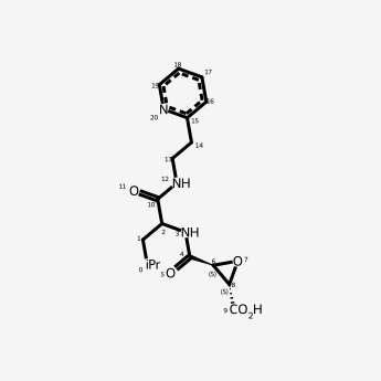 CC(C)CC(NC(=O)[C@H]1O[C@@H]1C(=O)O)C(=O)NCCc1ccccn1